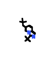 CC(C)(C)Cc1ccc2cnc(C(C)(C)C)n2c1